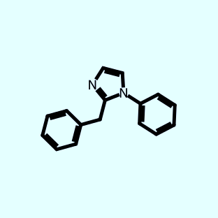 c1ccc(Cc2nccn2-c2ccccc2)cc1